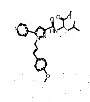 COC(=O)[C@H](CC(C)C)NC(=O)c1cc(-c2ccncc2)n(CC=Cc2ccc(OC)cc2)n1